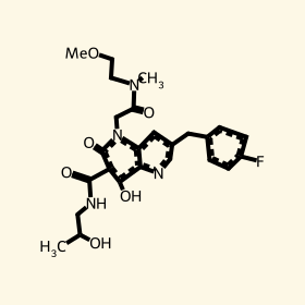 COCCN(C)C(=O)Cn1c(=O)c(C(=O)NCC(C)O)c(O)c2ncc(Cc3ccc(F)cc3)cc21